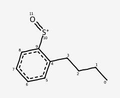 CCCCc1ccccc1[S+]=O